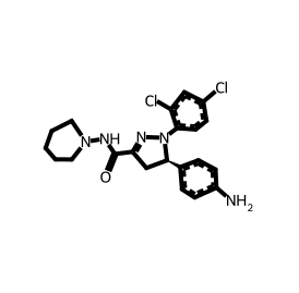 Nc1ccc([C@H]2CC(C(=O)NN3CCCCC3)=NN2c2ccc(Cl)cc2Cl)cc1